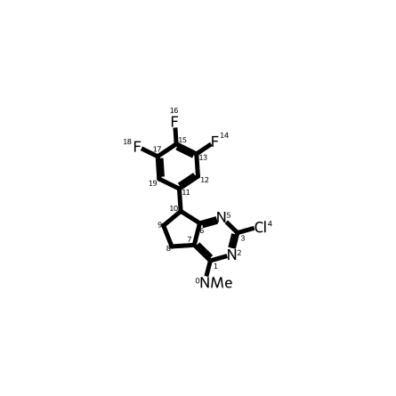 CNc1nc(Cl)nc2c1CCC2c1cc(F)c(F)c(F)c1